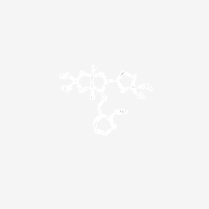 COc1ccccc1CO[C@@H]1[C@H]2OC(C)(C)O[C@H]2O[C@@H]1[C@H]1COC(C)(C)O1